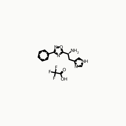 N[C@@H](Cc1c[nH]cn1)c1nc(-c2ccccc2)no1.O=C(O)C(F)(F)F